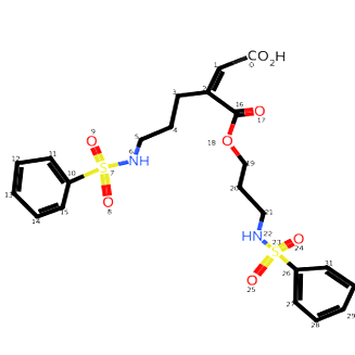 O=C(O)C=C(CCCNS(=O)(=O)c1ccccc1)C(=O)OCCCNS(=O)(=O)c1ccccc1